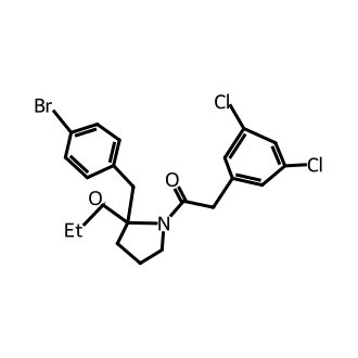 CCC(=O)C1(Cc2ccc(Br)cc2)CCCN1C(=O)Cc1cc(Cl)cc(Cl)c1